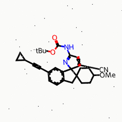 COC1CCC2(CC1)Cc1ccc(C#CC3CC3)cc1C21N=C(NC(=O)OC(C)(C)C)c2ccc(C#N)cc21